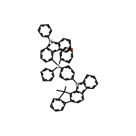 CC1(C)c2ccccc2-c2ccc3c4ccccc4n(-c4ccc(S(c5ccccc5)(c5ccccc5)c5cccc6c5c5ccccc5n6-c5ccccc5)cc4)c3c21